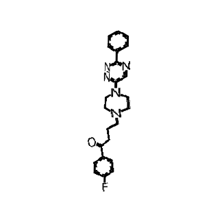 O=C(CCCN1CCN(c2cnc(-c3ccccc3)nn2)CC1)c1ccc(F)cc1